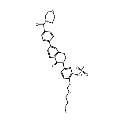 COCCOCOc1ccc(N2CCc3cc(-c4ccc(C(=O)N5CCOCC5)cc4)ccc3C2=O)cc1NS(C)(=O)=O